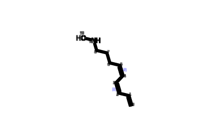 C=C/C=C\C=C/CCCNO